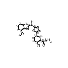 COc1cccc2sc(Nc3nnc(-c4ccc(Cl)c(C(N)=O)c4)o3)nc12